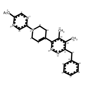 CC(=O)Oc1cnc(N2CC=C(c3nnc(Cc4ccccc4)c(C)c3C)CC2)cn1